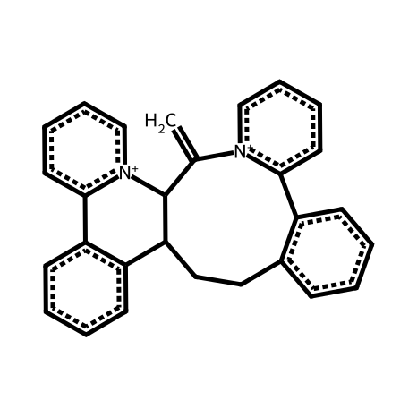 C=C1C2C(CCc3ccccc3-c3cccc[n+]31)c1ccccc1-c1cccc[n+]12